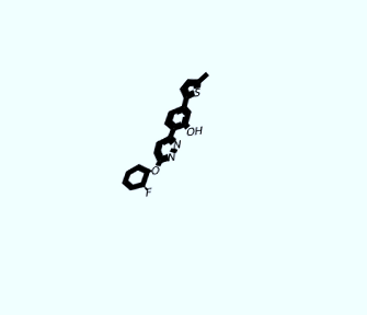 Cc1ccc(-c2ccc(-c3ccc(O[C@H]4CCCC[C@H]4F)nn3)c(O)c2)s1